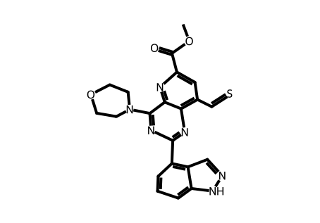 COC(=O)c1cc(C=S)c2nc(-c3cccc4[nH]ncc34)nc(N3CCOCC3)c2n1